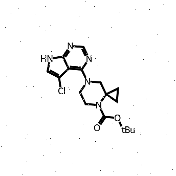 CC(C)(C)OC(=O)N1CCN(c2ncnc3[nH]cc(Cl)c23)CC12CC2